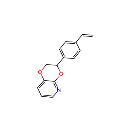 C=Cc1ccc(C2COc3cccnc3O2)cc1